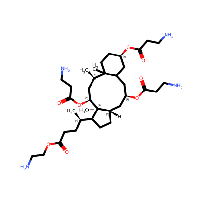 C[C@H](CCC(=O)OCCN)C1CC[C@H]2C[C@H](OC(=O)CCN)CC3C[C@H](OC(=O)CCN)CCC3(C)[C@H](C)C[C@H](OC(=O)CCN)[C@]12C